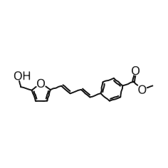 COC(=O)c1ccc(/C=C/C=C/c2ccc(CO)o2)cc1